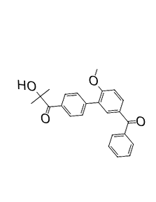 COc1ccc(C(=O)c2ccccc2)cc1-c1ccc(C(=O)C(C)(C)O)cc1